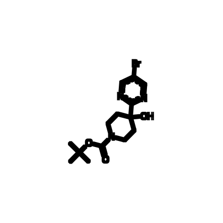 CC(C)(C)OC(=O)N1CCC(O)(c2ncc(Br)cn2)CC1